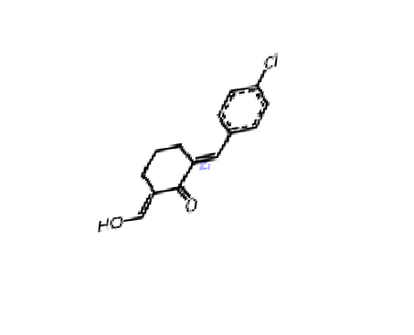 O=C1C(=CO)CCC/C1=C\c1ccc(Cl)cc1